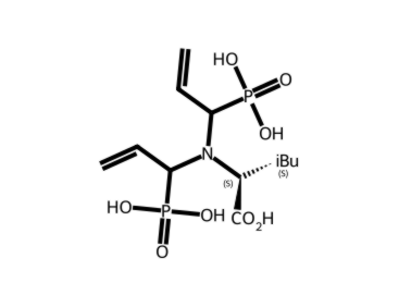 C=CC(N(C(C=C)P(=O)(O)O)[C@H](C(=O)O)[C@@H](C)CC)P(=O)(O)O